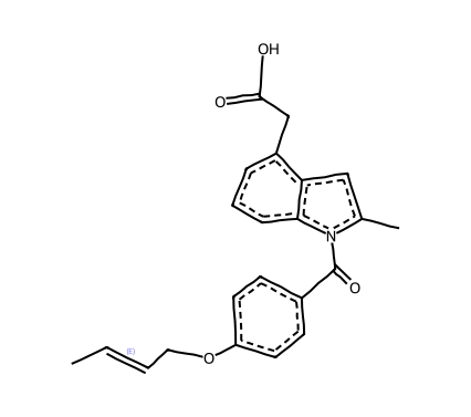 C/C=C/COc1ccc(C(=O)n2c(C)cc3c(CC(=O)O)cccc32)cc1